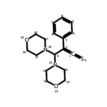 S=C=C(c1ccccc1)C(N1CCOCC1)N1CCOCC1